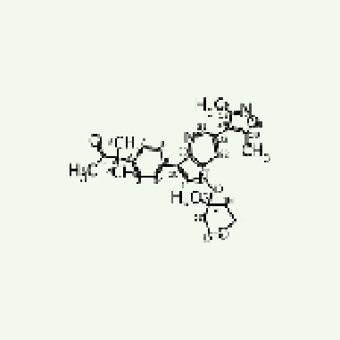 CC(=O)C(C)(C)c1ccc(-c2cn(CC3(C)CCOCC3)c3cc(-c4c(C)noc4C)cnc23)cc1